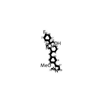 COc1cc(/C=C2\CCCN3C2=NOC3(CO)c2ccc(F)cc2)ccc1-c1ccnn1C